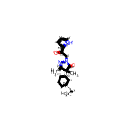 CC[C@@H]1CCC[C@H](C2(C)C(=O)N(CC(=O)c3ccc[nH]3)N=C2C)C1